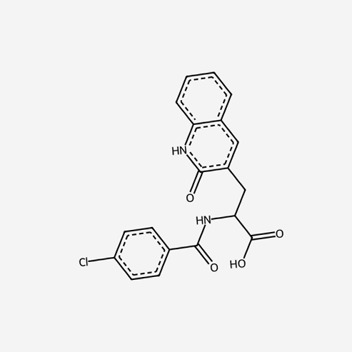 O=C(NC(Cc1cc2ccccc2[nH]c1=O)C(=O)O)c1ccc(Cl)cc1